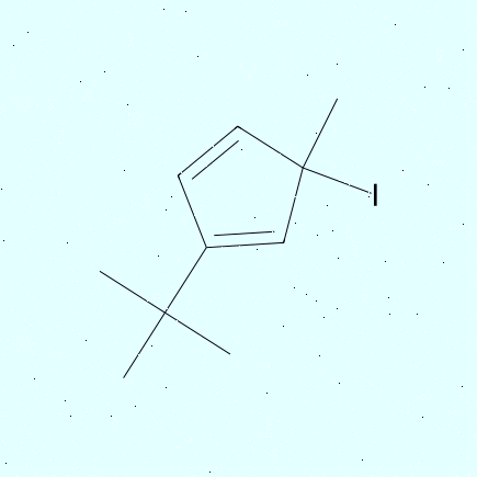 CC1(I)C=CC(C(C)(C)C)=C1